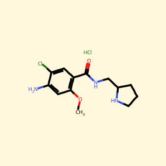 COc1cc(N)c(Cl)cc1C(=O)NCC1CCCN1.Cl